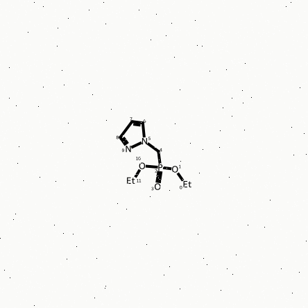 CCOP(=O)(Cn1cc[c]n1)OCC